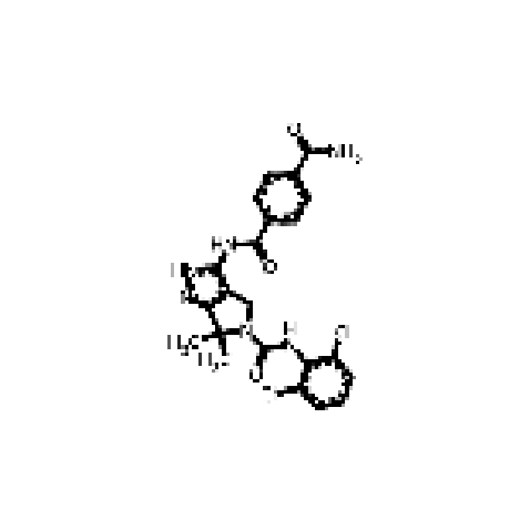 CC1(C)c2n[nH]c(NC(=O)c3ccc(C(N)=O)cc3)c2CN1C(=O)Nc1c(Cl)cccc1Cl